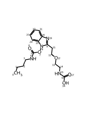 CCCCNC(=O)On1c(CCOCCNC(=O)O)nc2ccccc21